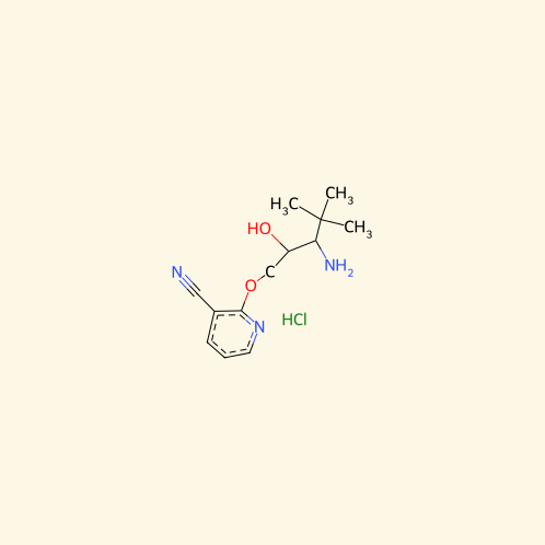 CC(C)(C)C(N)C(O)COc1ncccc1C#N.Cl